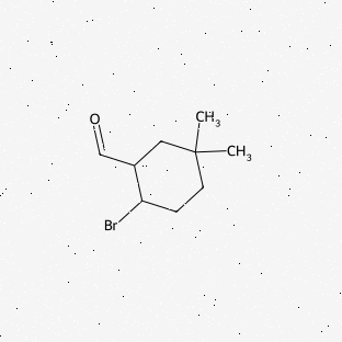 CC1(C)CCC(Br)C(C=O)C1